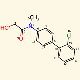 CN(C(=O)CO)c1ccc(-c2ccccc2Cl)cc1